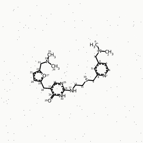 CN(C)Cc1ccnc(CSCCNc2ncc(Cc3ccc(CN(C)C)o3)c(=O)[nH]2)c1